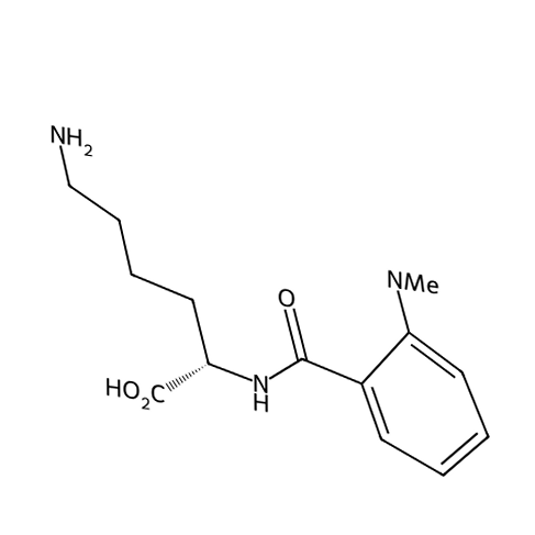 CNc1ccccc1C(=O)N[C@@H](CCCCN)C(=O)O